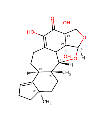 C[C@]12CCC=C1[C@H]1CCC3=C(O)C(=O)[C@@]4(O)CO[C@H]5O[C@@H](C3[C@]54O)[C@]1(C)CC2